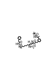 CC(NC(=O)OC(C)(C)C)c1cccc(CC(=O)N/C(N)=C/C=C(\N)CCCCc2nnc(NC(=O)Cc3ccccc3)s2)c1